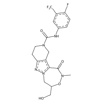 CN1OC(CO)Cn2nc3c(c2C1=O)CN(C(=O)Nc1ccc(F)c(C(F)(F)F)c1)CC3